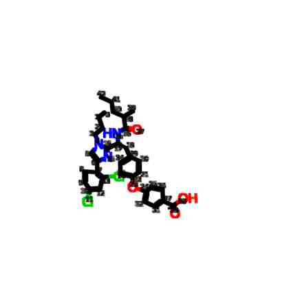 CCCCn1cc(-c2ccc(Cl)cc2Cl)nc1[C@H](Cc1ccc(Oc2ccc(C(=O)O)cc2)cc1)NC(=O)C(C)CCC